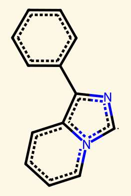 [c]1nc(-c2ccccc2)c2ccccn12